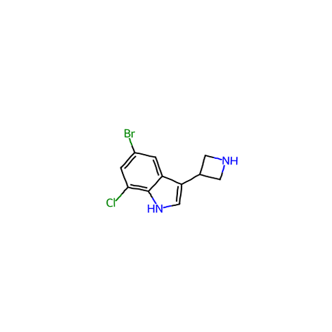 Clc1cc(Br)cc2c(C3CNC3)c[nH]c12